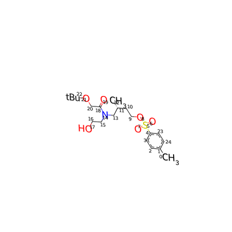 Cc1ccc(S(=O)(=O)OCC[C@@H](C)CN(CCO)C(=O)COC(C)(C)C)cc1